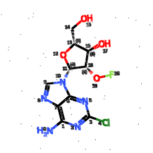 Nc1nc(Cl)nc2c1ncn2[C@@H]1O[C@H](CO)[C@@H](O)[C@@H]1OF